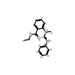 CCOC(=O)c1ccccc1N(C)C=Nc1ccccc1